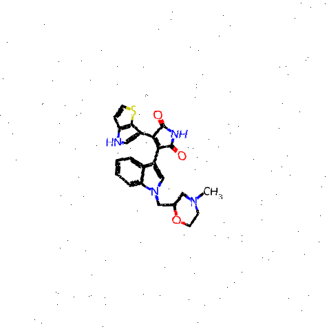 CN1CCOC(Cn2cc(C3=C(c4c[nH]c5ccsc45)C(=O)NC3=O)c3ccccc32)C1